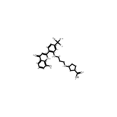 O=C(O)C1CCC(OCCCOc2cc(C(F)(F)F)ccc2-c2cc(=O)c3cccc(Cl)c3o2)C1